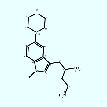 Cn1cc(CC(CCN)C(=O)O)c2cc(N3CCOCC3)ccc21